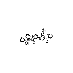 C=C(Nc1ccccn1)S/C(=C\N)Sc1ccnc(C(=O)NCC(O)(c2ccccc2)c2ccccn2)c1